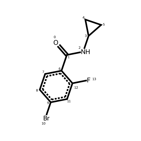 O=C(NC1CC1)c1ccc(Br)cc1F